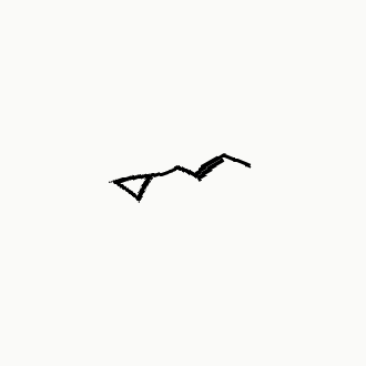 CC=CCC1[CH]C1